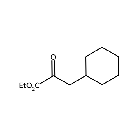 CCOC(=O)C(=O)CC1CCCCC1